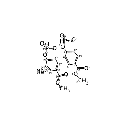 COC(=O)c1ccc(O[PH](=O)[O-])cc1.COC(=O)c1ccc(O[PH](=O)[O-])cc1.[Na+].[Na+]